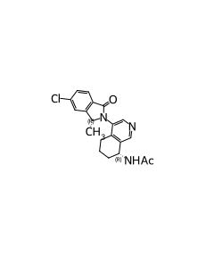 CC(=O)N[C@@H]1CCCc2c1cncc2N1C(=O)c2ccc(Cl)cc2[C@H]1C